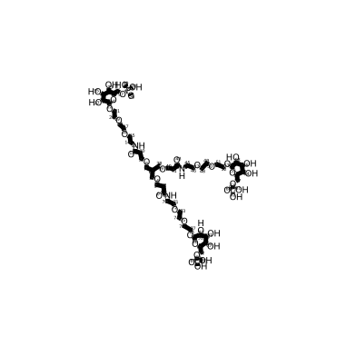 O=C(CCOCC(COCCC(=O)NCCOCCOCCOC1OC(COP(=O)(O)O)C(O)C(O)C1O)COCCC(=O)NCCOCCOCCOC1OC(COP(=O)(O)O)C(O)C(O)C1O)NCCOCCOCCOC1OC(COP(=O)(O)O)C(O)C(O)C1O